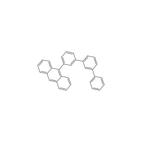 c1ccc(-c2cccc(-c3cccc(-c4c5ccccc5cc5ccccc45)c3)c2)cc1